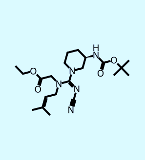 CCOC(=O)CN(CC=C(C)C)C(=NC#N)N1CCC[C@@H](NC(=O)OC(C)(C)C)C1